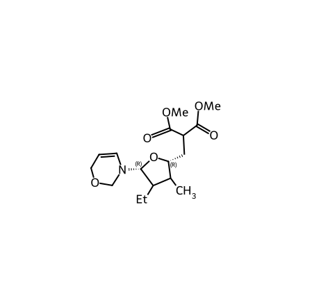 CCC1C(C)[C@@H](CC(C(=O)OC)C(=O)OC)O[C@H]1N1C=CCOC1